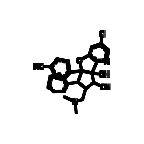 CN(C)CC1C(C#N)C2(O)c3ncc(Cl)cc3OC2(c2ccc(C#N)cc2)C1c1ccccc1